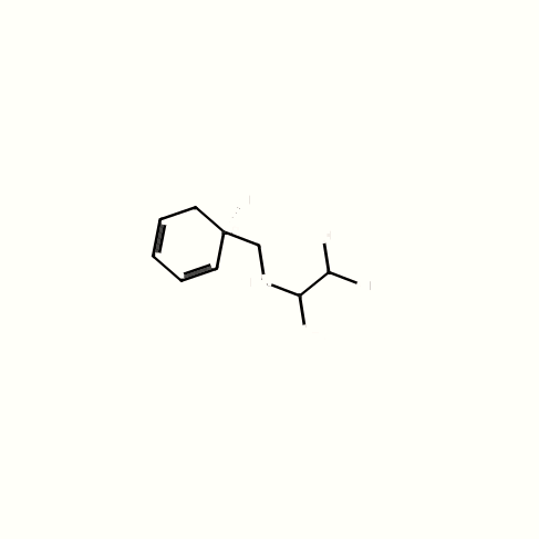 CC(O)C(C)NC[C@@]1(C)C=CC=CC1